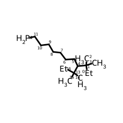 CCC(C)(C)C(CCCCCCCP)C(C)(C)CC